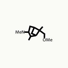 CNC1CC2CC(C1C)C2(C)COC